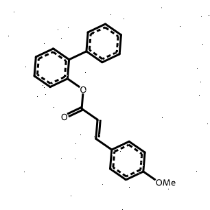 COc1ccc(/C=C/C(=O)Oc2ccccc2-c2ccccc2)cc1